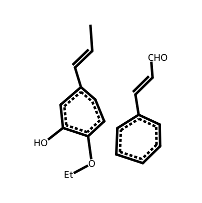 CC=Cc1ccc(OCC)c(O)c1.O=CC=Cc1ccccc1